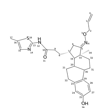 C=CCO/N=C1\C[C@@H](CCC(=O)Nc2ncc(C)s2)C2C3CCc4cc(O)ccc4C3CC[C@]12C